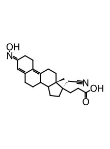 C[C@]12CCC3=C4CCC(=NO)C=C4CCC3C1CC[C@]2(CC#N)CCC(=O)O